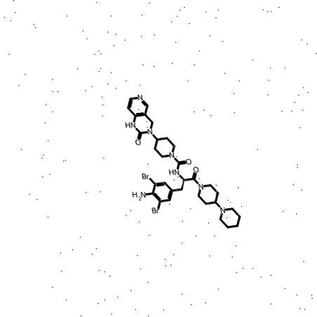 Nc1c(Br)cc(C[C@@H](NC(=O)N2CCC(N3Cc4cnccc4NC3=O)CC2)C(=O)N2CCC(N3CCCCC3)CC2)cc1Br